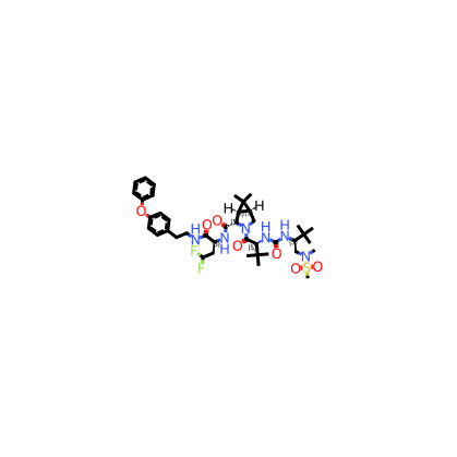 CN(C[C@@H](NC(=O)N[C@H](C(=O)N1C[C@H]2[C@@H]([C@H]1C(=O)N[C@@H](CC(F)F)C(=O)NCCc1ccc(Oc3ccccc3)cc1)C2(C)C)C(C)(C)C)C(C)(C)C)S(C)(=O)=O